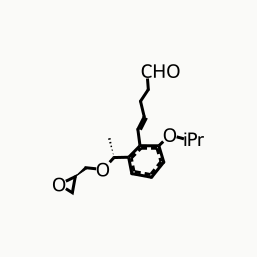 CC(C)Oc1cccc([C@@H](C)OC[C@H]2CO2)c1/C=C/CCC=O